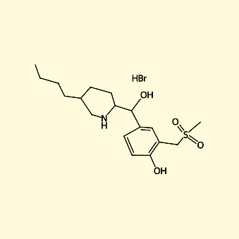 Br.CCCCC1CCC(C(O)c2ccc(O)c(CS(C)(=O)=O)c2)NC1